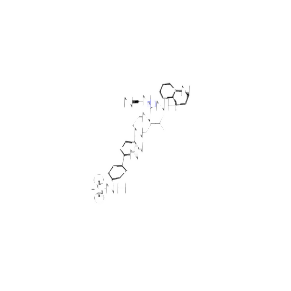 CC(C)C1CN(c2ccc(-c3ccc(NS(C)(=O)=O)cc3)nn2)CCN1/C(=N\C#N)Nc1cccc2ncccc12